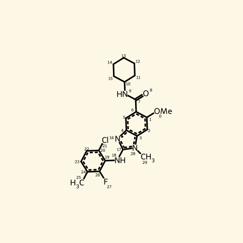 COc1cc2c(cc1C(=O)NC1CCCCC1)nc(Nc1c(Cl)ccc(C)c1F)n2C